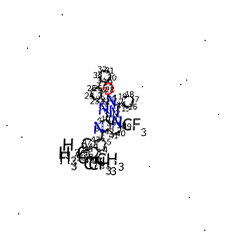 CC1(C)c2ccc(-c3ncc(-c4nc(-c5ccccc5)nc(-c5cccc6c5oc5ccccc56)n4)c4nc(C(F)(F)F)ccc34)cc2C(C)(C)C1(C)C